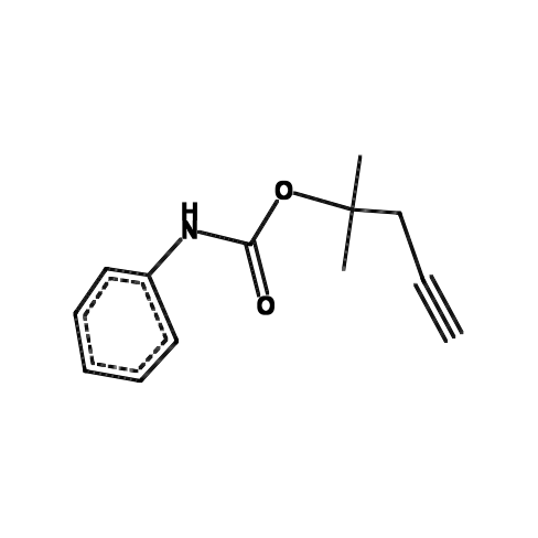 C#CCC(C)(C)OC(=O)Nc1ccccc1